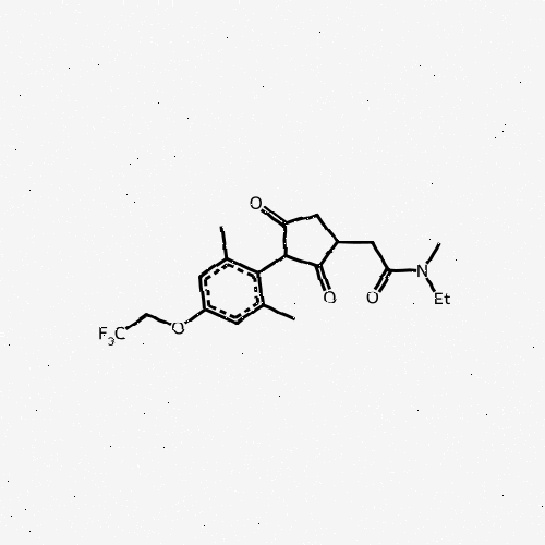 CCN(C)C(=O)CC1CC(=O)C(c2c(C)cc(OCC(F)(F)F)cc2C)C1=O